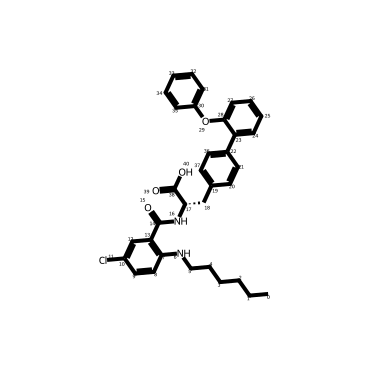 CCCCCCNc1ccc(Cl)cc1C(=O)N[C@@H](Cc1ccc(-c2ccccc2Oc2ccccc2)cc1)C(=O)O